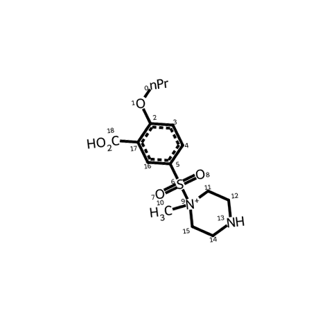 CCCOc1ccc(S(=O)(=O)[N+]2(C)CCNCC2)cc1C(=O)O